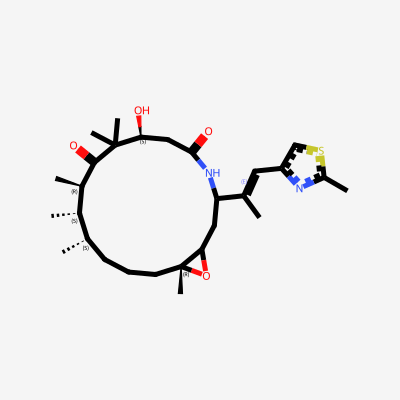 C/C(=C\c1csc(C)n1)C1CC2O[C@]2(C)CCC[C@H](C)[C@H](C)[C@@H](C)C(=O)C(C)(C)[C@@H](O)CC(=O)N1